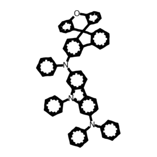 c1ccc(N(c2ccccc2)c2ccc3c4ccc(N(c5ccccc5)c5ccc6c(c5)-c5ccccc5C65c6ccccc6Oc6ccccc65)cc4n(-c4ccccc4)c3c2)cc1